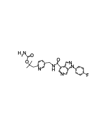 CC(C)(Cc1ccc(CNC(=O)c2cncc3c2cnn3-c2ccc(F)cc2)cn1)OC(N)=O